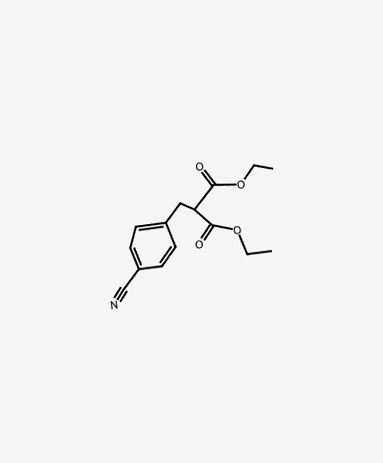 CCOC(=O)C(Cc1ccc(C#N)cc1)C(=O)OCC